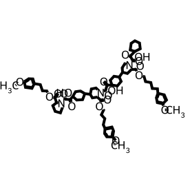 COc1ccc(CCCCCOC(=O)C2CC(C3CCC(O)(C(=O)C(=O)N4CCC(C5CCC(O)(C(=O)C(=O)N6CCCCC6C(=O)OCCCc6ccc(OC)cc6)CC5)CC4C(=O)OCCCCc4ccc(OC)cc4)CC3)CCN2C(=O)C(=O)C2(O)CCCCC2)cc1